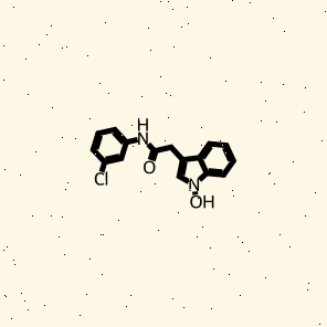 O=C(Cc1cn(O)c2ccccc12)Nc1cccc(Cl)c1